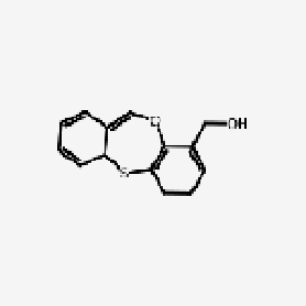 OCC1=CCCC2=C1OC=C1C=CC=CC1S2